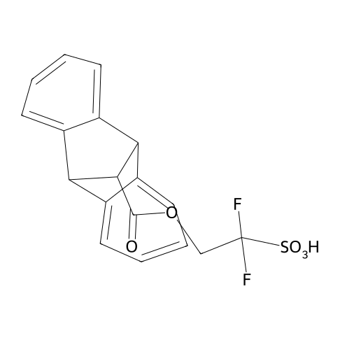 O=C(OCC(F)(F)S(=O)(=O)O)C1C2c3ccccc3C1c1ccccc12